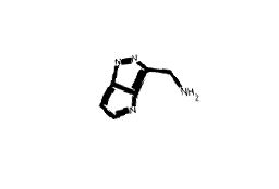 NCC1=C2N=CC=C2N=N1